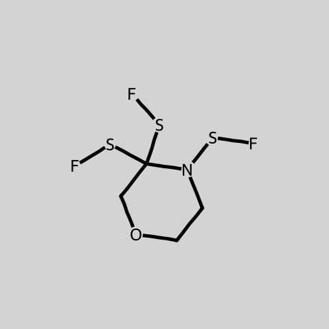 FSN1CCOCC1(SF)SF